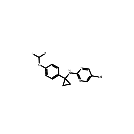 N#Cc1cnc(NC2(c3ccc(OC(F)F)cc3)CC2)nc1